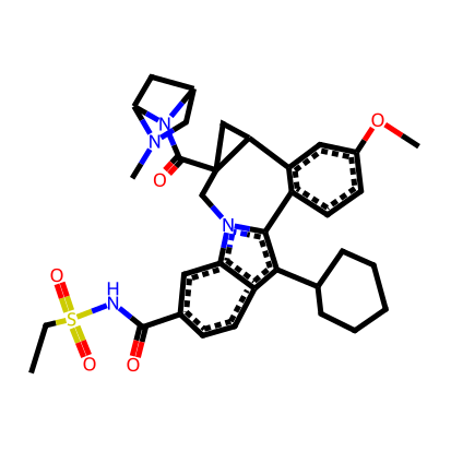 CCS(=O)(=O)NC(=O)c1ccc2c(C3CCCCC3)c3n(c2c1)CC1(C(=O)N2C4CC2N(C)C4)CC1c1cc(OC)ccc1-3